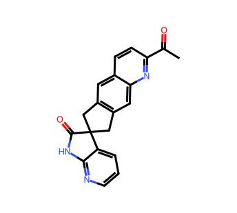 CC(=O)c1ccc2cc3c(cc2n1)CC1(C3)C(=O)Nc2ncccc21